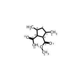 COC(=O)C1C(C)CC(C)C1C(=O)O